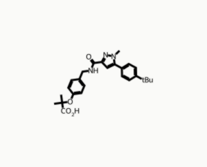 Cn1nc(C(=O)NCc2ccc(OC(C)(C)C(=O)O)cc2)cc1-c1ccc(C(C)(C)C)cc1